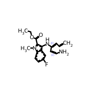 C=C/C=C(\C=C/N)Nc1c(C(=O)OCC)n(C)c2ccc(F)cc12